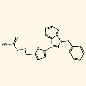 CCCC(=O)OOCc1ccc(-c2nn(Cc3ccccc3)c3ccccc23)o1